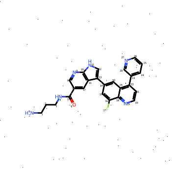 NCCCNC(=O)c1cnc2[nH]cc(-c3cc(F)c4nccc(-c5cccnc5)c4c3)c2c1